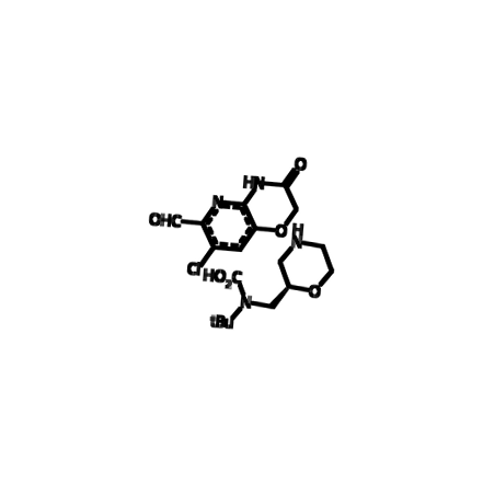 CC(C)(C)N(C[C@H]1CNCCO1)C(=O)O.O=Cc1nc2c(cc1Cl)OCC(=O)N2